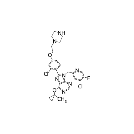 CC1(Oc2ncnc3c2nc(-c2ccc(OCCN4CCNCC4)cc2Cl)n3Cc2cc(Cl)c(F)cn2)CC1